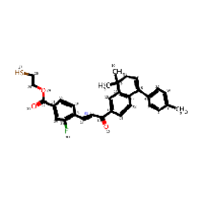 Cc1ccc(C2=CCC(C)(C)c3cc(C(=O)/C=C/c4ccc(C(=O)OCCS)cc4F)ccc32)cc1